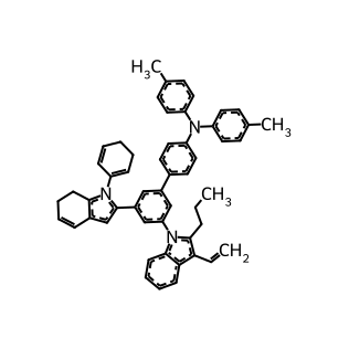 C=Cc1c(CCC)n(-c2cc(-c3ccc(N(c4ccc(C)cc4)c4ccc(C)cc4)cc3)cc(-c3cc4c(n3C3=CCCC=C3)CCC=C4)c2)c2ccccc12